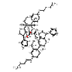 C[C@]12CCC(SCCCN)C=C1CC[C@@H]1[C@H]2CC[C@]2(C)C(c3ccoc3)CC[C@@]12OC(=O)C(=O)O[C@@]12CCC(c3ccoc3)[C@@]1(C)CC[C@@H]1[C@H]2CCC2=CC(SCCCN)CC[C@@]21C